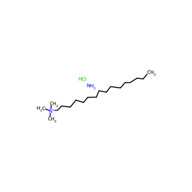 CCCCCCCCCCCCCCCC[N+](C)(C)C.Cl.N